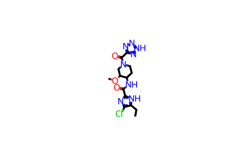 CCc1[nH]c(C(=O)NC2CCN(C(=O)c3nn[nH]n3)CC2OC)nc1Cl